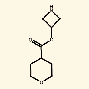 O=C(OC1CNC1)C1CCOCC1